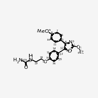 CCOc1nc(-c2ccc(OC)cc2)c(-c2ccc(OCCNC(N)=O)cc2)o1